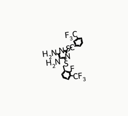 Nc1nc(SCc2cccc(C(F)(F)F)c2)nc(SCc2cccc(C(F)(F)F)c2F)c1N